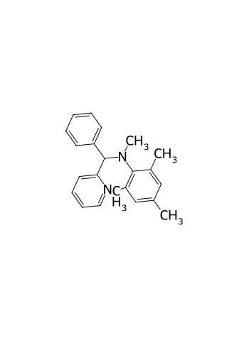 Cc1cc(C)c(N(C)C(c2ccccc2)c2ccccn2)c(C)c1